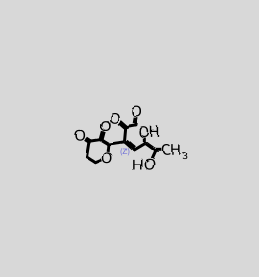 CC(O)C(O)/C=C(\C(=O)C=O)C1OCCC(=O)C1=O